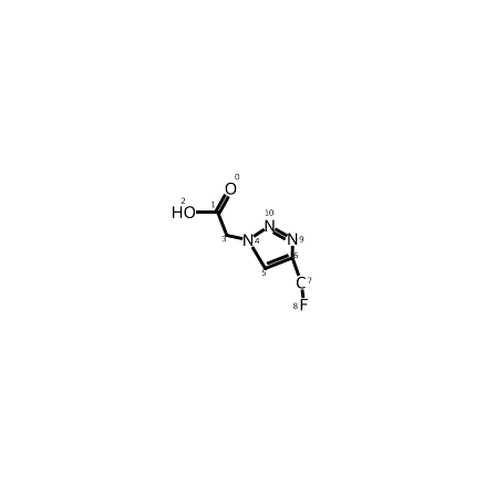 O=C(O)Cn1cc(CF)nn1